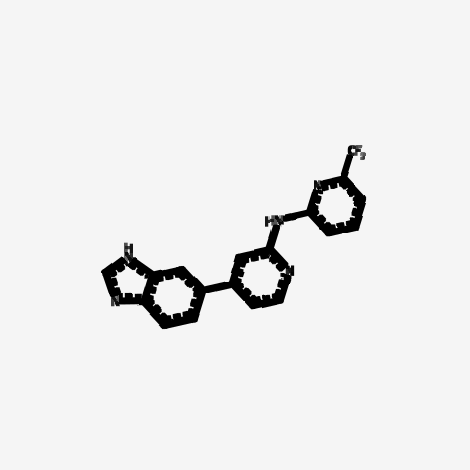 FC(F)(F)c1cccc(Nc2cc(-c3ccc4nc[nH]c4c3)ccn2)n1